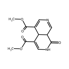 COC(=O)C1=CN=CC2C(=O)NC=C(C(=O)OC)C12